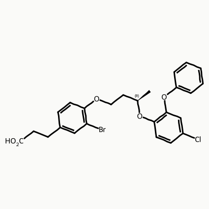 C[C@H](CCOc1ccc(CCC(=O)O)cc1Br)Oc1ccc(Cl)cc1Oc1ccccc1